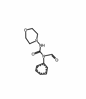 O=CN(C(=O)NN1CCOCC1)c1ccccc1